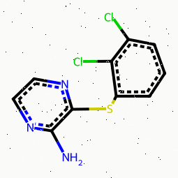 Nc1nccnc1Sc1cccc(Cl)c1Cl